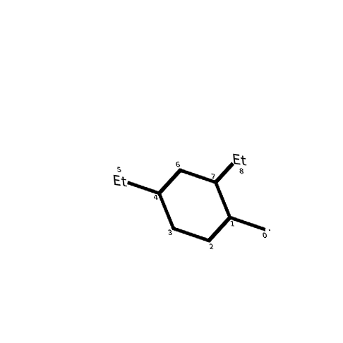 [CH2]C1CCC(CC)CC1CC